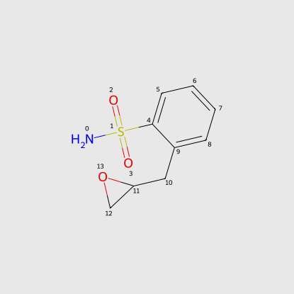 NS(=O)(=O)c1ccccc1CC1CO1